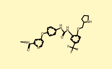 CNC(=O)c1cc(Oc2ccc(NC(=O)Nc3cc(C(F)(F)F)ccc3OCC3CCCN3)cc2)ccn1